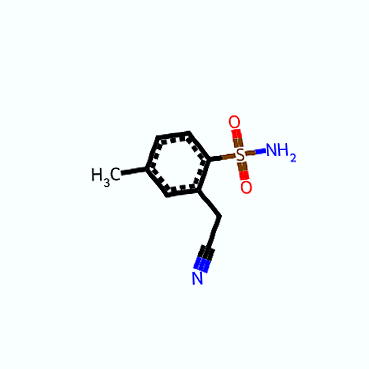 Cc1ccc(S(N)(=O)=O)c(CC#N)c1